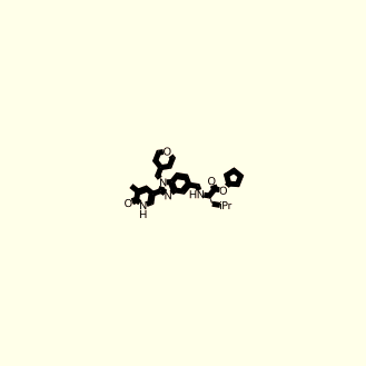 Cc1cc(-c2nc3cc(CN[C@@H](CC(C)C)C(=O)OC4CCCC4)ccc3n2CC2CCOCC2)c[nH]c1=O